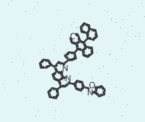 c1ccc(-c2cc(-c3ccc(-c4nc5ccccc5o4)cc3)nc3c2ccc2c(-c4ccccc4)cc(-c4ccc(-c5c6ccccc6c(-c6cccc7ccccc67)c6ccccc56)cc4)nc23)cc1